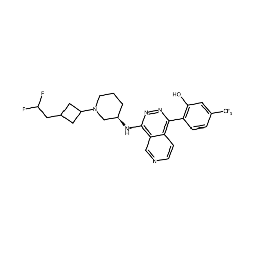 Oc1cc(C(F)(F)F)ccc1-c1nnc(N[C@@H]2CCCN(C3CC(CC(F)F)C3)C2)c2cnccc12